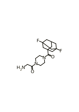 NCC(=O)N1CCN(C(=O)C23CC4CC(F)(CC(F)(C4)C2)C3)CC1